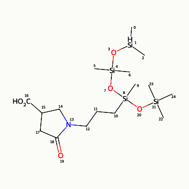 C[SiH](C)O[Si](C)(C)O[Si](C)(CCCN1CC(C(=O)O)CC1=O)O[Si](C)(C)C